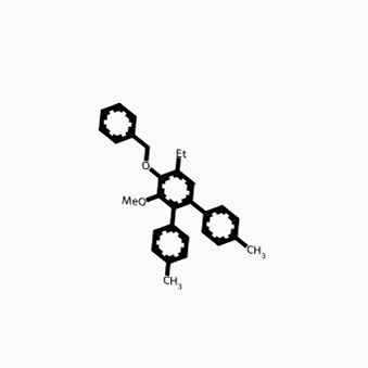 CCc1[c]c(-c2ccc(C)cc2)c(-c2ccc(C)cc2)c(OC)c1OCc1ccccc1